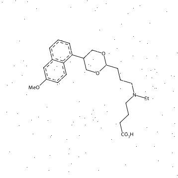 CCN(CCCC(=O)O)CCCC1OCC(c2cccc3cc(OC)ccc23)CO1